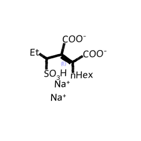 CCCCCC/C(C(=O)[O-])=C(/C(=O)[O-])C(CC)S(=O)(=O)O.[Na+].[Na+]